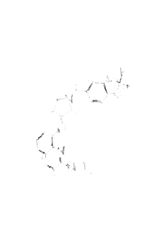 Nc1ccc2cccc(O[C@H]3CCN(Cc4ccc5c(c4)OC(F)(F)O5)C3)c2n1